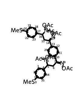 CSc1ccc(C(C/C(=N\OC(C)=O)c2ccc(/C(CC(c3ccc(SC)cc3)N(OC(C)=O)C(C)=O)=N/OC(C)=O)cc2)N(OC(C)=O)C(C)=O)cc1